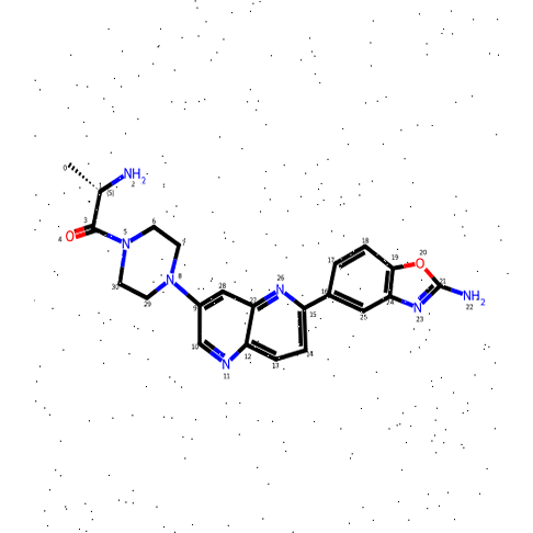 C[C@H](N)C(=O)N1CCN(c2cnc3ccc(-c4ccc5oc(N)nc5c4)nc3c2)CC1